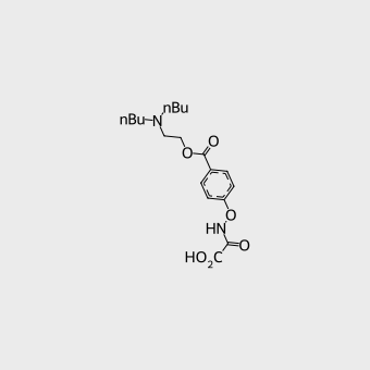 CCCCN(CCCC)CCOC(=O)c1ccc(ONC(=O)C(=O)O)cc1